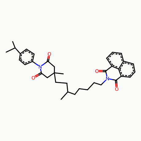 CC(CCCCCN1C(=O)c2cccc3cccc(c23)C1=O)CCC1(C)CC(=O)N(c2ccc(C(C)C)cc2)C(=O)C1